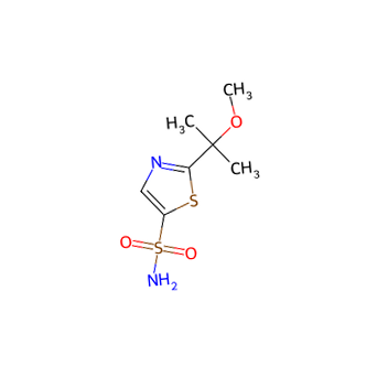 COC(C)(C)c1ncc(S(N)(=O)=O)s1